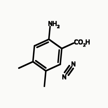 Cc1cc(N)c(C(=O)O)cc1C.N#N